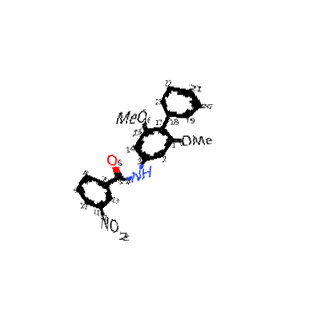 COc1cc(NC(=O)c2cccc([N+](=O)[O-])c2)cc(OC)c1-c1ccccc1